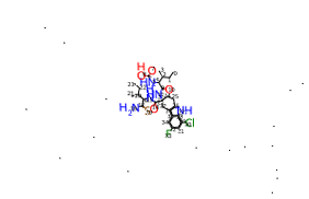 CC[C@H](C)C(NC(=O)O)C(=O)N[C@]1(C(=O)NC(C(N)=S)[C@@H](C)CC)CCc2[nH]c3c(Cl)cc(F)cc3c2C1